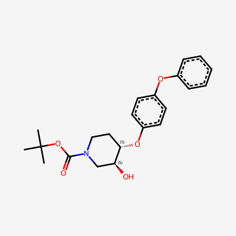 CC(C)(C)OC(=O)N1CC[C@H](Oc2ccc(Oc3ccccc3)cc2)[C@@H](O)C1